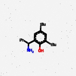 CC(C)C(N)c1cc(C(C)(C)C)cc(C(C)(C)C)c1O